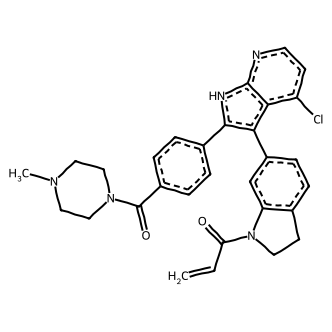 C=CC(=O)N1CCc2ccc(-c3c(-c4ccc(C(=O)N5CCN(C)CC5)cc4)[nH]c4nccc(Cl)c34)cc21